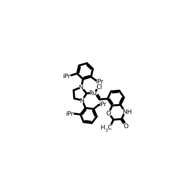 CC1Oc2c([CH]=[Ru]([Cl])[CH]3N(c4c(C(C)C)cccc4C(C)C)CCN3c3c(C(C)C)cccc3C(C)C)cccc2NC1=O